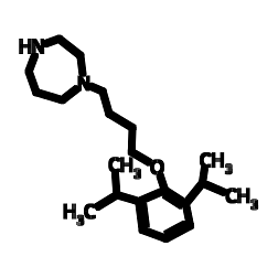 CC(C)c1cccc(C(C)C)c1OCCCCN1CCCNCC1